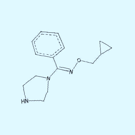 c1ccc(/C(=N\OCC2CC2)N2CCNCC2)cc1